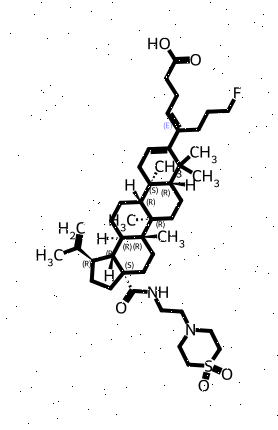 C=C(C)[C@@H]1CC[C@]2(C(=O)NCCN3CCS(=O)(=O)CC3)CC[C@]3(C)[C@H](CC[C@@H]4[C@@]5(C)CC=C(/C(=C/CCC(=O)O)CCCF)C(C)(C)[C@@H]5CC[C@]43C)[C@@H]12